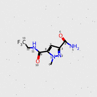 Cn1nc(C(N)=O)[c]c1C(=O)NCC(F)(F)F